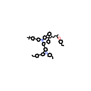 C=Cc1ccc(OCC(C)CCC(C)CC2(c3ccccc3)c3ccccc3-c3ccc(N(c4ccc(-c5ccc(C(C)(C)C)cc5)cc4)c4ccc(-c5ccc6c(c5)c5cc(-c7ccc(C=C)cc7)ccc5n6-c5ccc(C=C)cc5)cc4)cc32)cc1